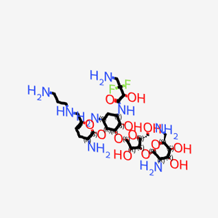 NCCCNCC1=CC[C@@H](N)[C@@H](O[C@H]2[C@H](O[C@@H]3O[C@H](CO)[C@@H](O[C@H]4O[C@@H](CN)[C@@H](O)[C@H](O)[C@H]4N)[C@H]3O)[C@@H](O)[C@H](NC(=O)C(O)C(F)(F)CN)C[C@@H]2N)O1